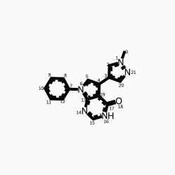 Cn1cc(-c2cn(-c3ccccc3)c3nc[nH]c(=O)c23)cn1